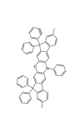 Cc1ccc2c(c1)C(c1c#cccc1)(c1ccccc1)c1cc3c(cc1-2)N(c1ccccc1)c1cc2c(cc1O3)C(c1ccccc1)(c1ccccc1)c1cc(C)ccc1-2